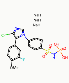 COc1ccc(-c2c(Cl)ncn2-c2ccc(S(=O)(=O)NP(=O)(O)O)cc2)cc1F.[NaH].[NaH].[NaH]